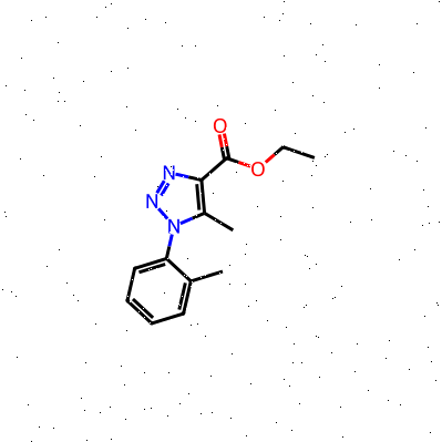 CCOC(=O)c1nnn(-c2ccccc2C)c1C